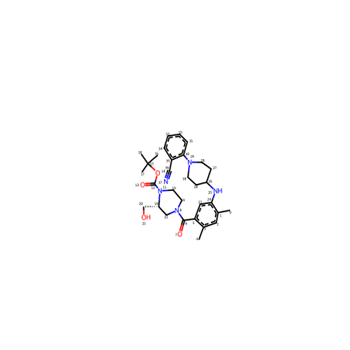 Cc1cc(C)c(C(=O)N2CCN(C(=O)OC(C)(C)C)[C@@H](CO)C2)cc1NC1CCN(c2ccccc2C#N)CC1